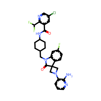 Nc1ncccc1N1CC2(C1)C(=O)N(CC1CCC(NC(=O)c3cc(Cl)cnc3C(F)F)CC1)c1cc(F)ccc12